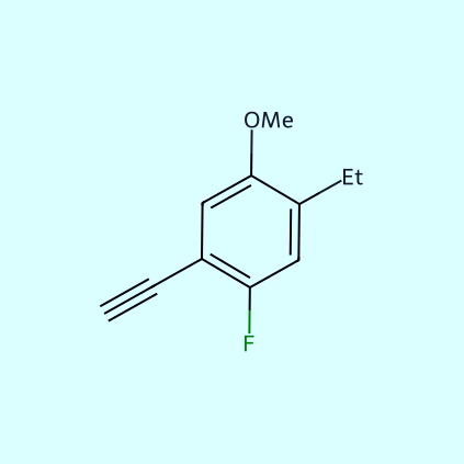 C#Cc1cc(OC)c(CC)cc1F